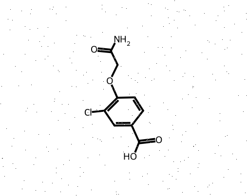 NC(=O)COc1ccc(C(=O)O)cc1Cl